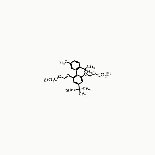 C=C(C)c1ccc(C)cc1-c1c(OCOC(=O)OCC)cc(C(C)(C)CCCCCC)cc1OCOC(=O)OCC